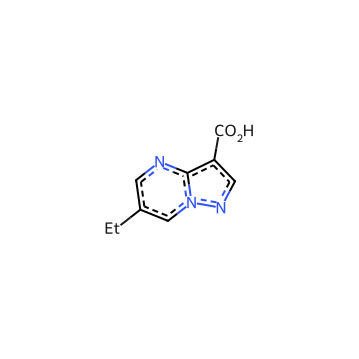 CCc1cnc2c(C(=O)O)cnn2c1